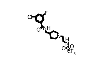 O=C(NCC1CCN(CCNS(=O)(=O)C(F)(F)F)CC1)c1cc(F)cc(Cl)c1